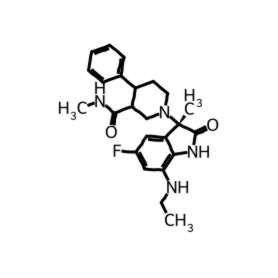 CCNc1cc(F)cc2c1NC(=O)[C@@]2(C)N1CCC(c2ccccc2)C(C(=O)NC)C1